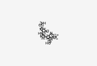 CNC(=O)Cn1ccc2c(Nc3nccc(-c4cc(C#N)c5c(c4)C(C)(CO)CN5C(=O)OC(C)(C)C)n3)cc(Cl)cc21